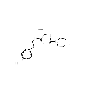 CC(C)C[C@H](NC(=O)N1CCN(C)CC1)C(=O)N[C@H](C=O)Cc1ccc(O)cc1